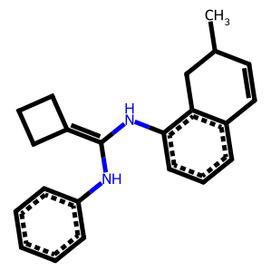 CC1C=Cc2cccc(NC(Nc3ccccc3)=C3CCC3)c2C1